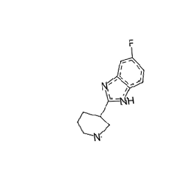 Fc1ccc2[nH]c(C3CCC[N]C3)nc2c1